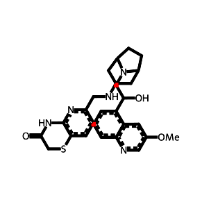 COc1cnc2cccc(C(O)CN3C4CCC3CC(NCc3ccc5c(n3)NC(=O)CS5)C4)c2c1